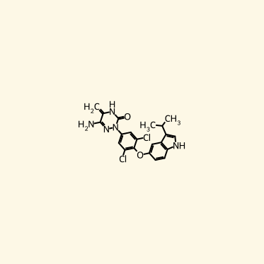 C=C1NC(=O)N(c2cc(Cl)c(Oc3ccc4[nH]cc(C(C)C)c4c3)c(Cl)c2)N=C1N